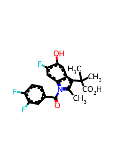 Cc1c(C(C)(C)C(=O)O)c2cc(O)c(F)cc2n1C(=O)c1ccc(F)c(F)c1